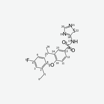 CCc1cc(F)ccc1Oc1ccc(S(=O)(=O)Nc2ncns2)cc1CC